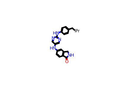 CC(C)Cc1ccc(Nc2ncc(Nc3ccc4c(c3)CNC4=O)cn2)cc1